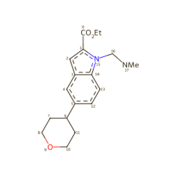 CCOC(=O)c1cc2cc(C3CCOCC3)ccc2n1CNC